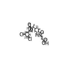 CC(c1ccc(C(=O)NCCC(=O)O)cc1)N1N=C(c2cc(Cl)cc(Cl)c2)CC1=O